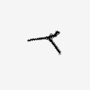 CCCCCCCCCCCCCCCCCCOCC(CNC(=O)OCCC(C)(C)OCC(C)OC)OCCCCCCCCCCCCCCCCCC